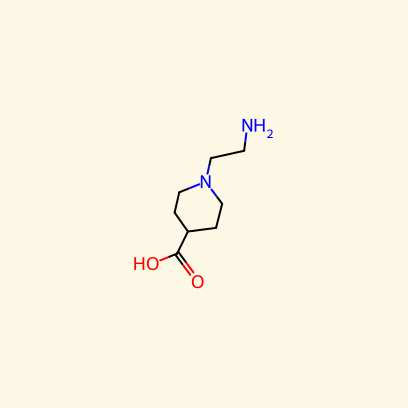 NCCN1CCC(C(=O)O)CC1